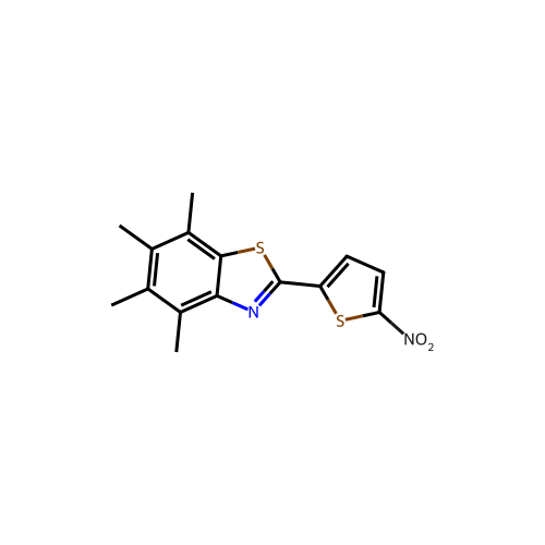 Cc1c(C)c(C)c2sc(-c3ccc([N+](=O)[O-])s3)nc2c1C